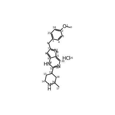 COc1ccc(Cc2cc3[nH]c(C4CCNC(C)C4)ncc-3n2)cc1.Cl